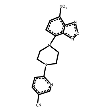 N#Cc1ccc(N2CCN(c3ccc([N+](=O)[O-])c4nonc34)CC2)nc1